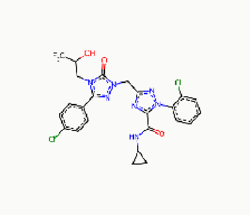 O=C(NC1CC1)c1nc(Cn2nc(-c3ccc(Cl)cc3)n(CC(O)C(F)(F)F)c2=O)nn1-c1ccccc1Cl